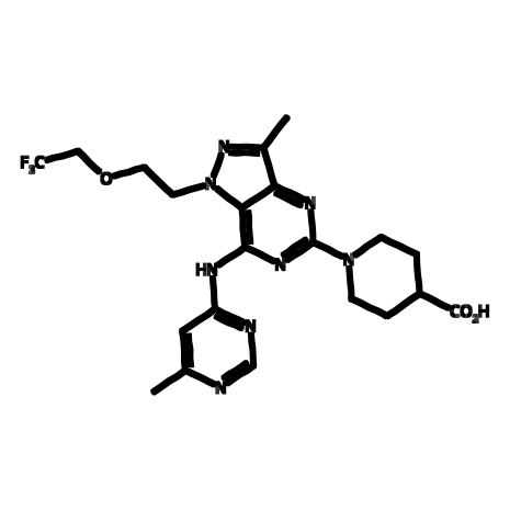 Cc1cc(Nc2nc(N3CCC(C(=O)O)CC3)nc3c(C)nn(CCOCC(F)(F)F)c23)ncn1